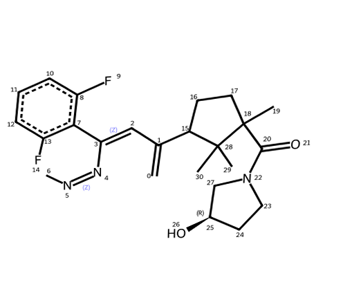 C=C(/C=C(\N=N/C)c1c(F)cccc1F)C1CCC(C)(C(=O)N2CC[C@@H](O)C2)C1(C)C